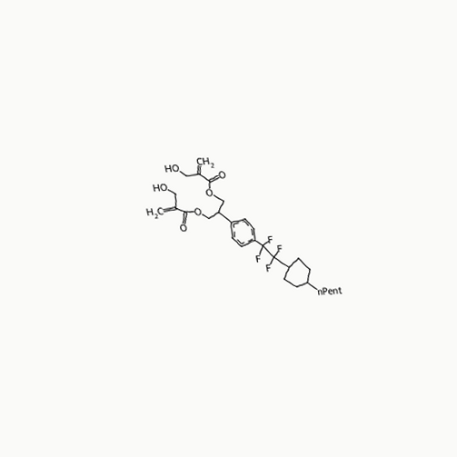 C=C(CO)C(=O)OCC(COC(=O)C(=C)CO)c1ccc(C(F)(F)C(F)(F)C2CCC(CCCCC)CC2)cc1